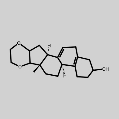 C[C@]12CC[C@H]3C(=CCC4=C3CCC(O)C4)[C@@H]1CC1OCCOC12